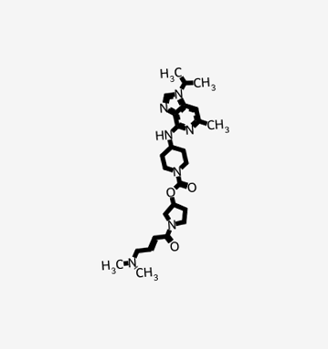 Cc1cc2c(ncn2C(C)C)c(NC2CCN(C(=O)OC3CCN(C(=O)C=CCN(C)C)C3)CC2)n1